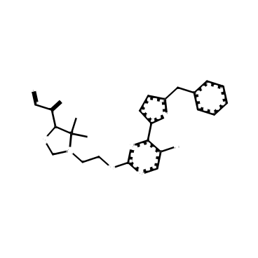 CC1(C)C(C(=O)C=O)NCN1CCNc1ncc(Br)c(-c2ccc(Cc3ccccc3)s2)n1